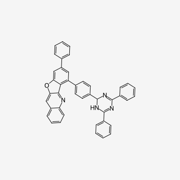 c1ccc(C2=NC(c3ccc(-c4cc(-c5ccccc5)cc5oc6cc7ccccc7nc6c45)cc3)NC(c3ccccc3)=N2)cc1